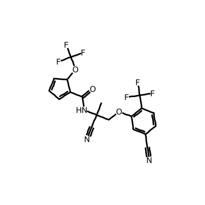 CC(C#N)(COc1cc(C#N)ccc1C(F)(F)F)NC(=O)C1=CC=CC1OC(F)(F)F